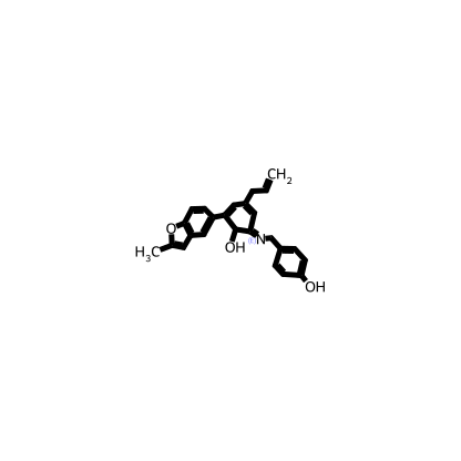 C=CCC1=C/C(=N\Cc2ccc(O)cc2)C(O)C(c2ccc3oc(C)cc3c2)=C1